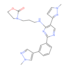 Cn1cc(-c2cccc(-c3ncc(-c4ccn(C)n4)c(NCCCN4CCOC4=O)n3)c2)cn1